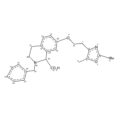 Cc1oc(C(C)(C)C)nc1CCOc1ccc2c(c1)C(C(=O)O)N(Cc1ccccc1)CC2